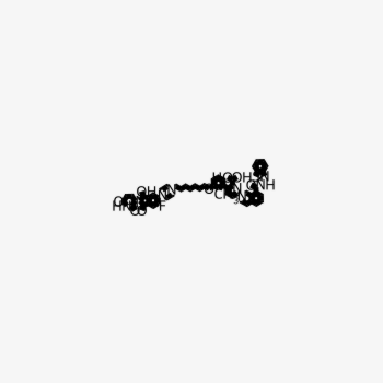 Cc1c(OCCCCCCCN2CCN(c3cc4c(cc3F)C(=O)N(C3CCC(=O)NC3=O)C4O)CC2)cccc1-c1ccc(N2CCc3cccc(C(=O)Nc4nc5ccccc5s4)c3C2)nc1C(O)O